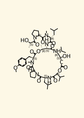 COc1ccc(C[C@H]2C(=O)O[C@H](C)[C@H](NC(=O)[C@@H](CC(C)C)N(C)C(=O)[C@@H]3CCCN3C(=O)[C@H](C)O)C(=O)N[C@H](C(C)C)[C@@H](O)CC(=O)O[C@@H](C(C)C)C(=O)N[C@@H](CC(C)C)C(=O)N3CCC[C@H]3C(=O)N2C)cc1